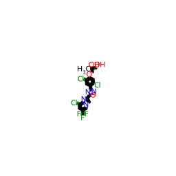 CC(O)(CO)COc1cc(Cl)c(-c2noc(-c3cn4cc(C(F)(F)F)cc(Cl)c4n3)n2)cc1Cl